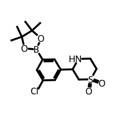 CC1(C)OB(c2cc(Cl)cc(C3CS(=O)(=O)CCN3)c2)OC1(C)C